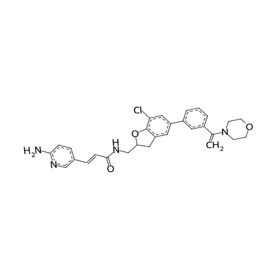 C=C(c1cccc(-c2cc(Cl)c3c(c2)CC(CNC(=O)/C=C/c2ccc(N)nc2)O3)c1)N1CCOCC1